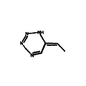 CC=C1C=NN=NN1